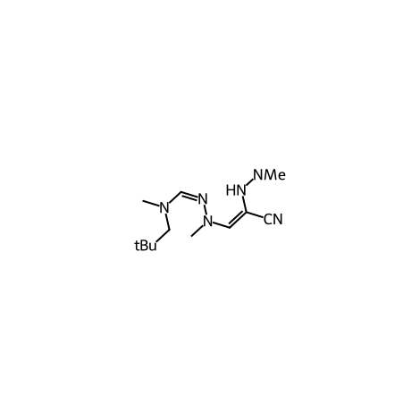 CNN/C(C#N)=C\N(C)/N=C\N(C)CC(C)(C)C